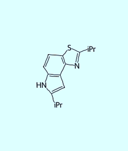 CC(C)c1cc2c(ccc3sc(C(C)C)nc32)[nH]1